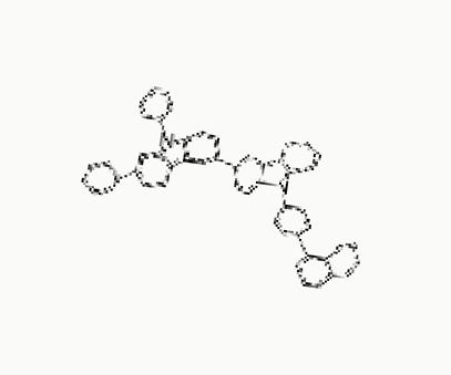 c1ccc(-c2ccc3c4cc(-c5ccc6c(c5)c5ccccc5n6-c5ccc(-c6cccc7ccccc67)cc5)ccc4n(-c4ccccc4)c3c2)cc1